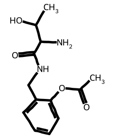 CC(=O)Oc1ccccc1CNC(=O)C(N)C(C)O